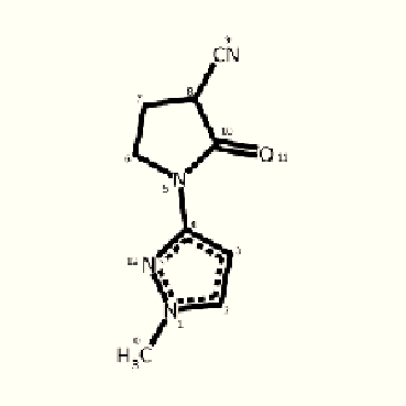 Cn1ccc(N2CCC(C#N)C2=O)n1